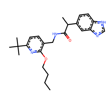 CCCCOc1nc(C(C)(C)C)ccc1CNC(=O)C(C)c1ccc2[nH]cnc2c1